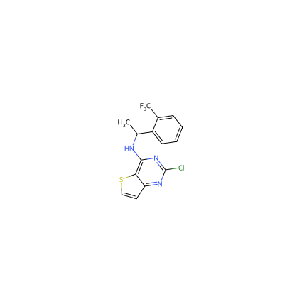 CC(Nc1nc(Cl)nc2ccsc12)c1ccccc1C(F)(F)F